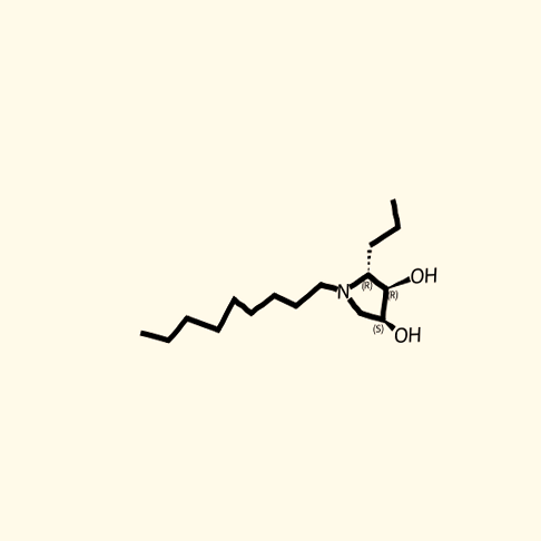 CCCCCCCCCN1C[C@H](O)[C@H](O)[C@H]1CCC